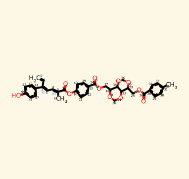 C=C/C(=C\C=C(/C)C(=O)Oc1ccc(C(=O)OCC2OCOC3C(COC(=O)c4ccc(C)cc4)OCOC23)cc1)c1ccc(O)cc1